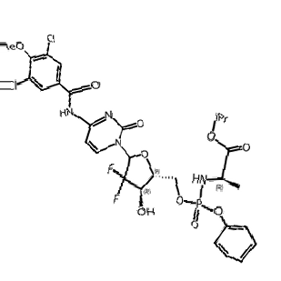 COc1c(Cl)cc(C(=O)Nc2ccn(C3O[C@H](COP(=O)(N[C@H](C)C(=O)OC(C)C)Oc4ccccc4)[C@@H](O)C3(F)F)c(=O)n2)cc1Cl